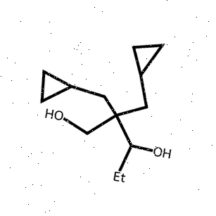 CCC(O)C(CO)(CC1CC1)CC1CC1